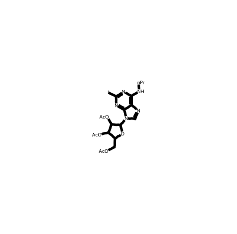 CCCNc1nc(I)nc2c1ncn2C1OC(COC(C)=O)C(OC(C)=O)C1OC(C)=O